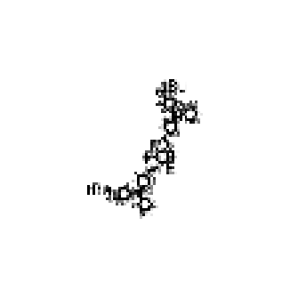 CC(C)(C)Oc1ccc(N(c2ccccc2)c2ccc(C=Cc3c(F)c(F)c(C=Cc4ccc(N(c5ccccc5)c5ccc(OC(C)(C)C)cc5)cc4)c(F)c3F)cc2)cc1